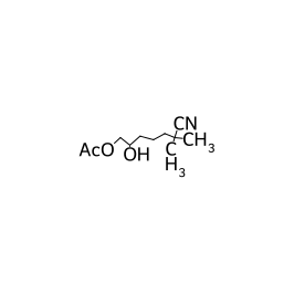 CC(=O)OCC(O)CCCC(C)(C)C#N